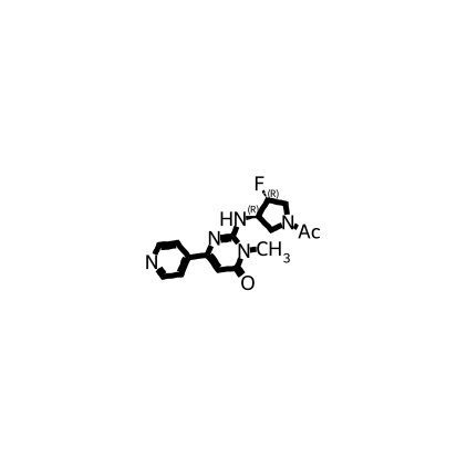 CC(=O)N1C[C@@H](F)[C@H](Nc2nc(-c3ccncc3)cc(=O)n2C)C1